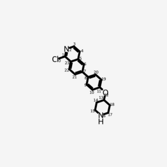 Clc1nccc2cc(-c3ccc(OC4CCNCC4)cc3)ccc12